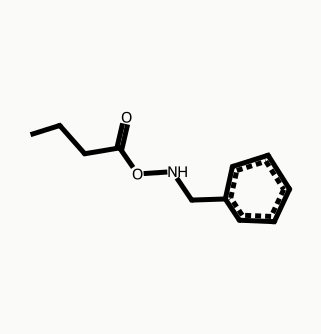 CCCC(=O)ONCc1ccccc1